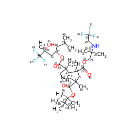 CCC(C)(CC(C)(CC(C)(C)C(=O)OC(C)(C)C(C)(C)C)C(=O)OCC(C)(C)NCC(F)(F)F)C(=O)OC(CC(C)C)CC(C)(O)C(F)(F)F